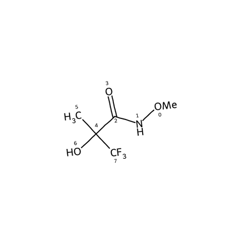 CONC(=O)C(C)(O)C(F)(F)F